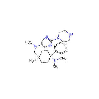 CN(C[C@]1(C)CC[C@@](c2ccccc2)(N(C)C)CC1)c1cnc(N2CCNCC2)nc1